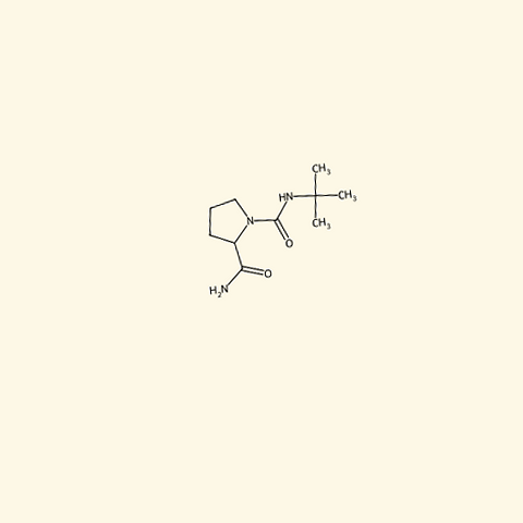 CC(C)(C)NC(=O)N1CCCC1C(N)=O